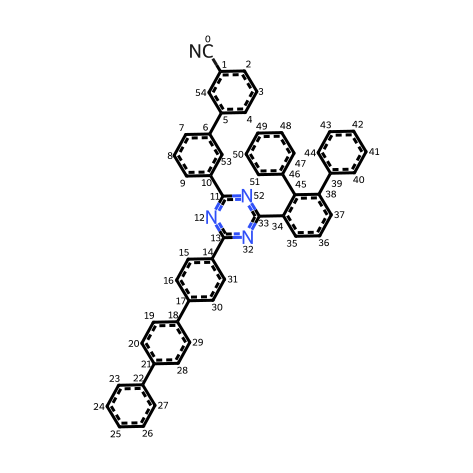 N#Cc1cccc(-c2cccc(-c3nc(-c4ccc(-c5ccc(-c6ccccc6)cc5)cc4)nc(-c4cccc(-c5ccccc5)c4-c4ccccc4)n3)c2)c1